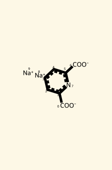 O=C([O-])c1cccc(C(=O)[O-])n1.[Na+].[Na+]